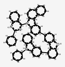 c1ccc(-c2nc(-n3c4ccc(-c5ccc6oc7cccc(-c8ccc9c(c8)c8ccccc8n9-c8ccccc8)c7c6c5)cc4c4c5ccccc5ccc43)c3ccccc3n2)cc1